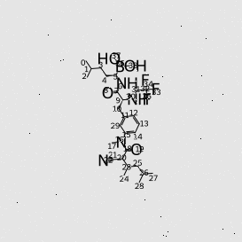 CC(C)CC[C@H](NC(=O)[C@H](Cc1cccc(N(C)C(=O)C(C#N)C(C)CC(C)C)c1)NCC(F)(F)F)B(O)O